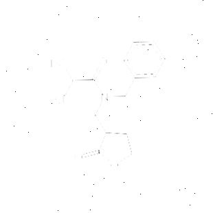 CC(Cl)C(=O)N(Cc1ccccc1)CC1CCOC1=O